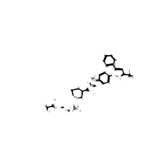 Cc1ccc(-c2cc(C(F)(F)F)nn2-c2ccc(S(=O)(=O)NC(=O)C3CCCN(n4on4OCOC(=O)C(C)C)C3)cc2)cc1